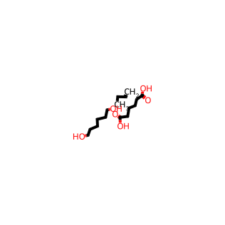 C=CCC.O=C(O)CCCCC(=O)O.OCCCCCCO